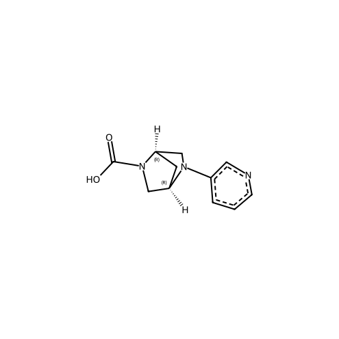 O=C(O)N1C[C@H]2C[C@@H]1CN2c1cccnc1